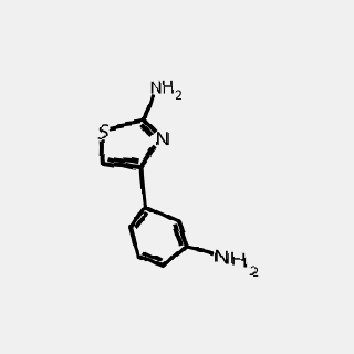 Nc1cccc(-c2csc(N)n2)c1